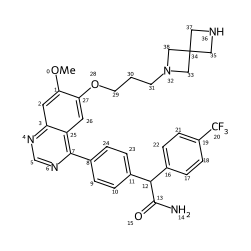 COc1cc2ncnc(-c3ccc(C(C(N)=O)c4ccc(C(F)(F)F)cc4)cc3)c2cc1OCCCN1CC2(CNC2)C1